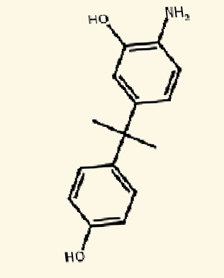 CC(C)(c1ccc(O)cc1)c1ccc(N)c(O)c1